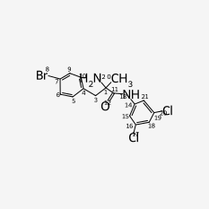 CC(N)(Cc1ccc(Br)cc1)C(=O)Nc1cc(Cl)cc(Cl)c1